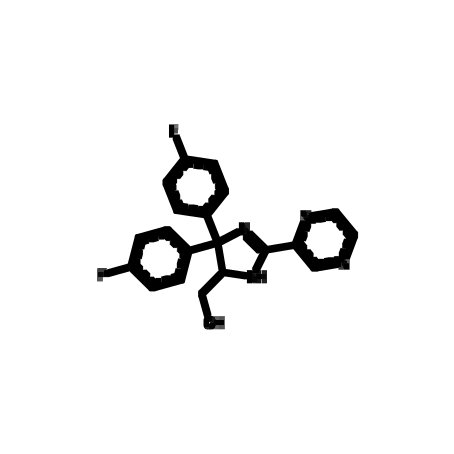 OCC1NC(c2cnccn2)=NC1(c1ccc(F)cc1)c1ccc(F)cc1